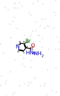 NNC(=O)c1ccncc1Br